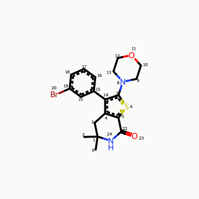 CC1(C)Cc2c(sc(N3CCOCC3)c2-c2cccc(Br)c2)C(=O)N1